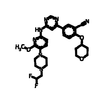 COc1nc(Nc2cc(-c3ccc(OC4CCOCC4)c(C#N)c3)ncn2)ccc1N1CCN(CC(F)F)CC1